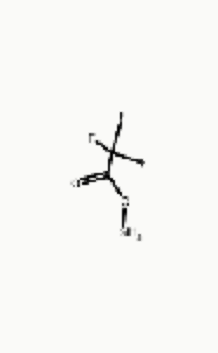 O=C(O[SiH3])C(F)(F)F